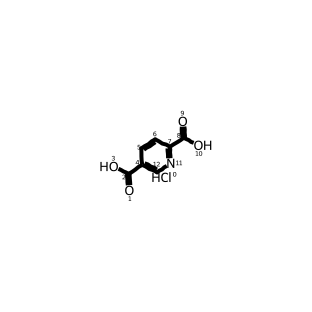 Cl.O=C(O)c1ccc(C(=O)O)nc1